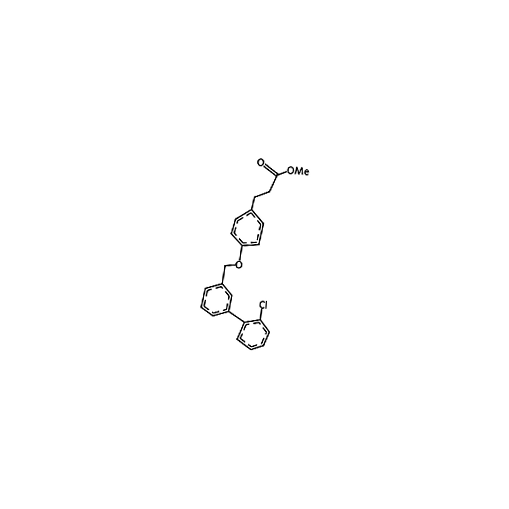 COC(=O)CCc1ccc(OCc2cccc(-c3ccccc3Cl)c2)cc1